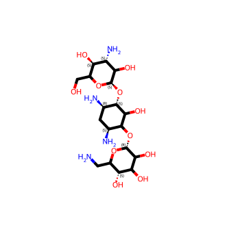 NCC1O[C@H](OC2C(O)[C@@H](O[C@H]3OC(CO)[C@@H](O)[C@H](N)C3O)[C@H](N)C[C@@H]2N)C(O)C(O)[C@@H]1O